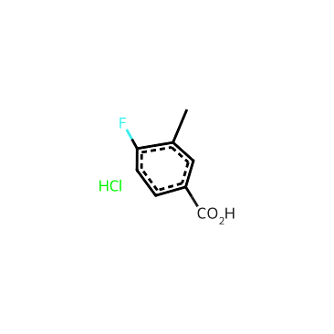 Cc1cc(C(=O)O)ccc1F.Cl